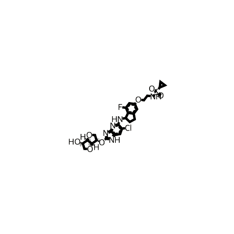 O=S(=O)(NCCOc1cc(F)c2c(c1)CCC2Nc1nc2nc(O[C@@H]3CO[C@H]4[C@@H]3OC[C@H]4O)[nH]c2cc1Cl)C1CC1